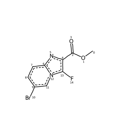 COC(=O)c1nc2ccc(Br)cn2c1F